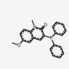 COc1ccc2c(c1)cc(P(c1ccccc1)c1ccccc1)c(=O)n2C